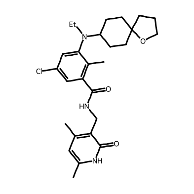 CCN(c1cc(Cl)cc(C(=O)NCc2c(C)cc(C)[nH]c2=O)c1C)C1CCC2(CCCO2)CC1